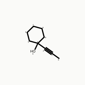 CC#CC1(O)CC[CH]CC1